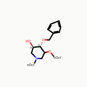 CCCCCCCCOC1CN(CCCCCCCC)C[C@@H](O)[C@@H]1OCc1ccccc1